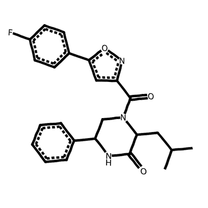 CC(C)CC1C(=O)NC(c2ccccc2)CN1C(=O)c1cc(-c2ccc(F)cc2)on1